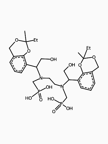 CCC1(C)OCc2cccc(C(CO)N(CCN(CP(=O)(O)O)C(CO)c3cccc4c3OC(C)(CC)OC4)CP(=O)(O)O)c2O1